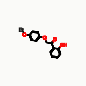 CCOc1ccc(OCC(=O)c2ccccc2O)cc1